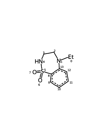 CCN1CCNS(=O)(=O)c2ccccc21